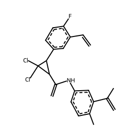 C=Cc1cc(C2C(C(=C)Nc3ccc(C)c(C(=C)C)c3)C2(Cl)Cl)ccc1F